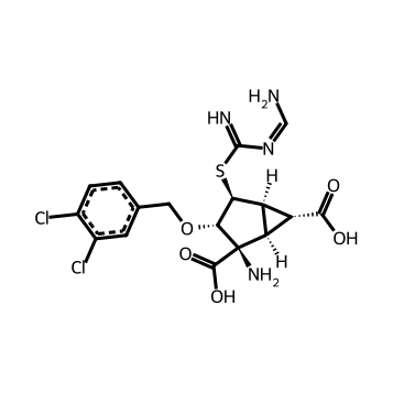 N=C(/N=C\N)S[C@H]1[C@H]2[C@H](C(=O)O)[C@H]2[C@](N)(C(=O)O)[C@@H]1OCc1ccc(Cl)c(Cl)c1